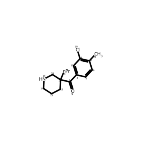 CCCC1(C(=O)c2ccc(C)c(Cl)c2)CCCNC1